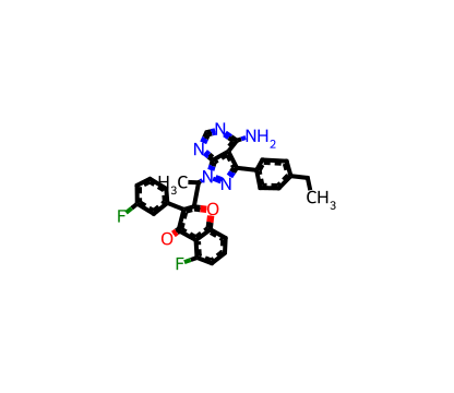 CCc1ccc(-c2nn(C(C)c3oc4cccc(F)c4c(=O)c3-c3cccc(F)c3)c3ncnc(N)c23)cc1